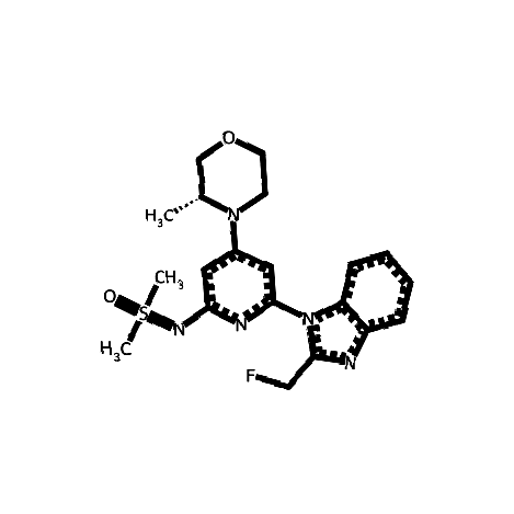 C[C@@H]1COCCN1c1cc(N=S(C)(C)=O)nc(-n2c(CF)nc3ccccc32)c1